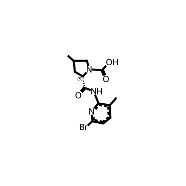 Cc1ccc(Br)nc1NC(=O)[C@@H]1CC(C)CN1C(=O)O